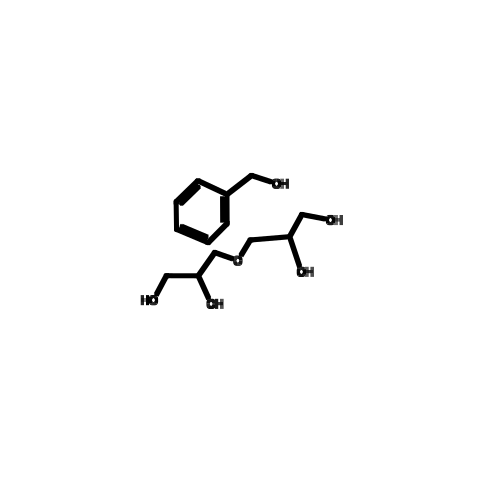 OCC(O)COCC(O)CO.OCc1ccccc1